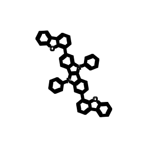 c1ccc(-n2c3cc(-c4cccc5c4oc4ccccc45)ccc3c3c2c2ccc(-c4cccc5c4oc4ccccc45)cc2n3-c2ccccc2)cc1